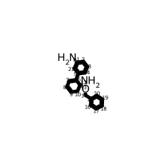 Nc1cccc(C2=CC=CCC2(N)OCc2ccccc2)c1